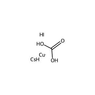 I.O=C(O)O.[CsH].[Cu]